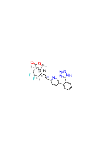 C[C@H]1OC(=O)[C@@H]2CC(F)(F)[C@@H](C)[C@H](/C=C/c3ccc(-c4ccccc4-c4nnn[nH]4)cn3)[C@H]12